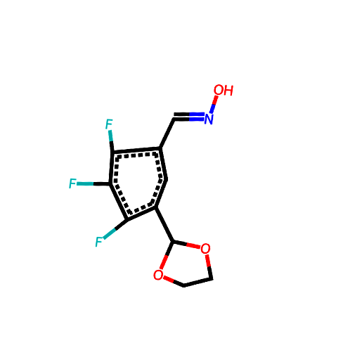 ON=Cc1cc(C2OCCO2)c(F)c(F)c1F